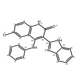 O=c1[nH]c2ccc(Cl)cc2c(Nc2ccccc2)c1-c1nc2ccccc2[nH]1